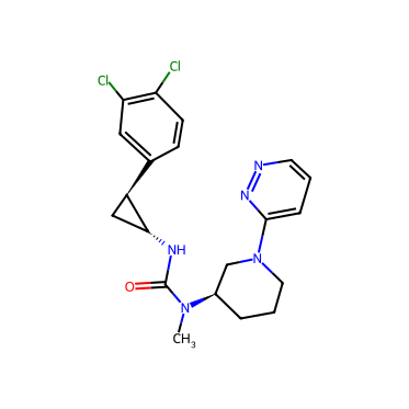 CN(C(=O)N[C@@H]1C[C@H]1c1ccc(Cl)c(Cl)c1)[C@@H]1CCCN(c2cccnn2)C1